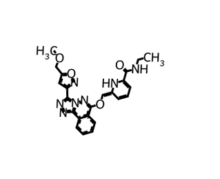 CCNC(=O)C1=CC=CC(=COc2nn3c(-c4cc(COC)on4)nnc3c3ccccc23)N1